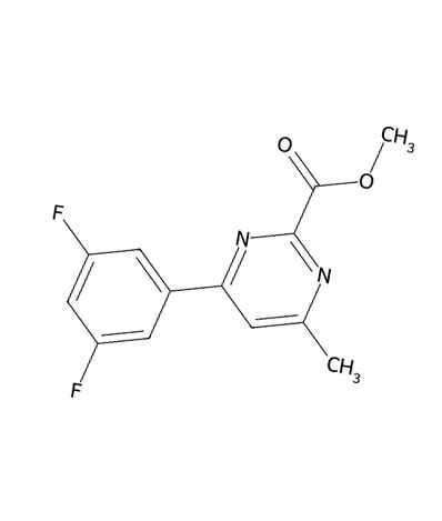 COC(=O)c1nc(C)cc(-c2cc(F)cc(F)c2)n1